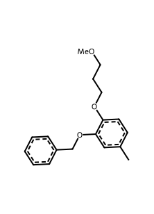 COCCCOc1ccc(C)cc1OCc1ccccc1